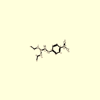 CCOP(NSc1ccc([N+](=O)[O-])cc1)OCC